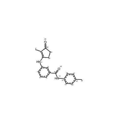 CC1=C(Nc2cccc(C(=O)Nc3ccc(C)cc3)c2)CCC1=O